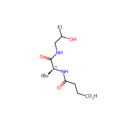 CCC(O)CNC(=O)[C@@H](NC(=O)CCC(=O)O)C(C)(C)C